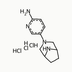 Cl.Cl.Cl.Nc1ccc(N2CC3CCC(C2)N3)cn1